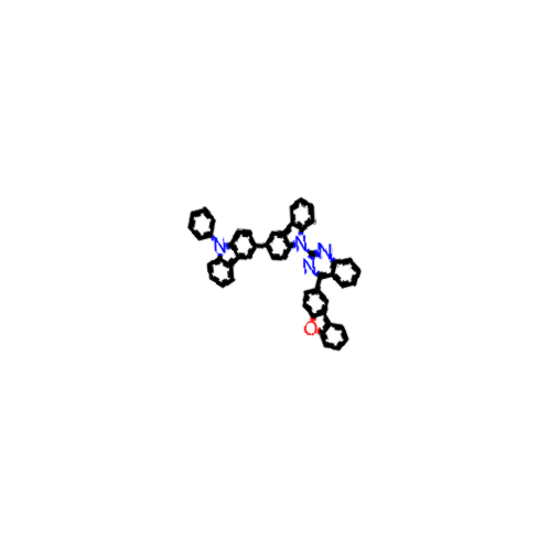 c1ccc(-n2c3ccccc3c3cc(-c4ccc5c(c4)c4ccccc4n5-c4nc(-c5ccc6oc7ccccc7c6c5)c5ccccc5n4)ccc32)cc1